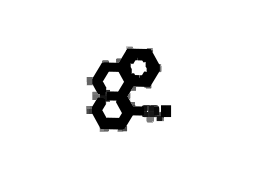 O=C(O)C1=C2c3ccccc3CCN2CC=C1